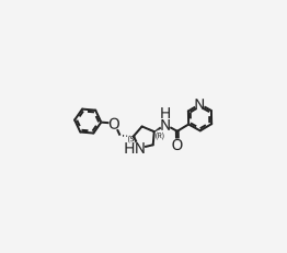 O=C(N[C@H]1CN[C@H](COc2ccccc2)C1)c1cccnc1